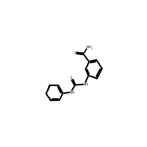 NC(=O)c1cccc(NC(=S)NC2=CC[CH]C=C2)c1